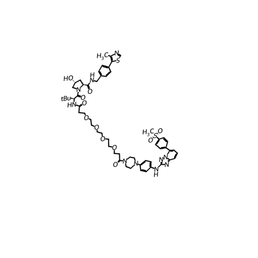 Cc1ncsc1-c1ccc(CNC(=O)[C@@H]2C[C@@H](O)CN2C(=O)[C@@H](NC(=O)CCOCCOCCOCCOCCC(=O)N2CCN(c3ccc(Nc4nc5cccc(-c6ccc(S(C)(=O)=O)cc6)n5n4)cc3)CC2)C(C)(C)C)cc1